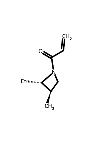 C=CC(=O)N1C[C@@H](C)[C@@H]1CC